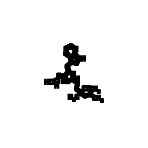 CN(C)CC(C)(C)CNC1=NC(=Cc2c[nH]c3ncccc23)C(=O)N1.Cl.Cl